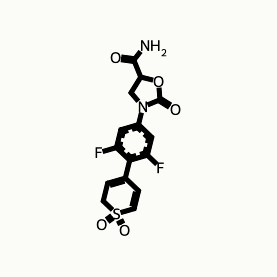 NC(=O)C1CN(c2cc(F)c(C3=CCS(=O)(=O)C=C3)c(F)c2)C(=O)O1